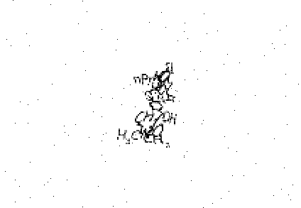 C=CC[C@@H](C)N(C)C(=O)CC(O)c1ccc2c(c1)N(CC1CCC1C(O)C=C)CC(c1ccc(Cl)cc1CCC)CO2